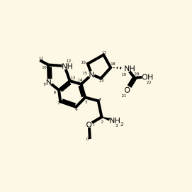 CO[C@H](N)Cc1ccc2nc(C)[nH]c2c1N1CC[C@H](NC(=O)O)C1